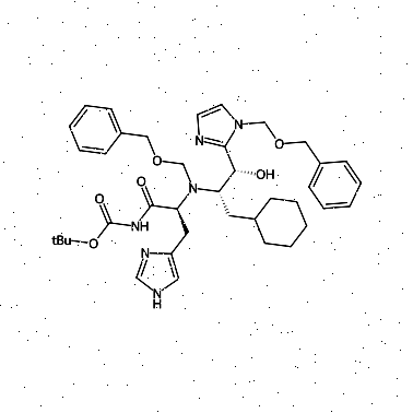 CC(C)(C)OC(=O)NC(=O)[C@H](Cc1c[nH]cn1)N(COCc1ccccc1)[C@@H](CC1CCCCC1)[C@@H](O)c1nccn1COCc1ccccc1